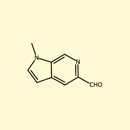 Cn1ccc2cc(C=O)ncc21